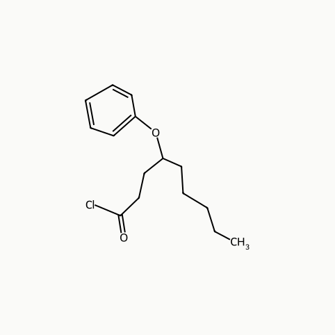 CCCCCC(CCC(=O)Cl)Oc1ccccc1